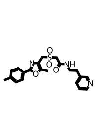 Cc1ccc(-c2nc(CS(=O)(=O)CC(=O)NCCc3cccnc3)c(C)o2)cc1